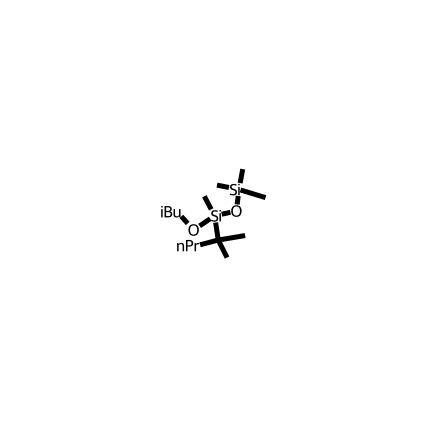 CCCC(C)(C)[Si](C)(OC(C)CC)O[Si](C)(C)C